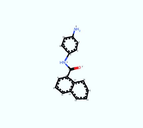 Nc1ccc(NC(=O)c2cccc3ccccc23)cc1